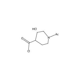 CC(=O)N1CCC(C(=O)Cl)CC1.Cl